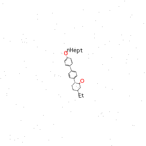 CCCCCCCOc1ccc(-c2ccc(C3CCC(CC)CC3=O)cc2)cc1